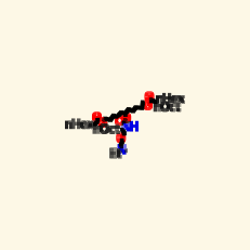 CCCCCCCCC(CCCCCC)C(=O)OCCCCCC(CCCCCOC(=O)C(CCCCCC)CCCCCCCC)OC(=O)NCCOCCN(C)CC